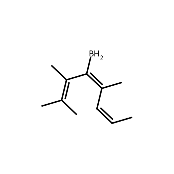 B/C(C(C)=C(C)C)=C(C)/C=C\C